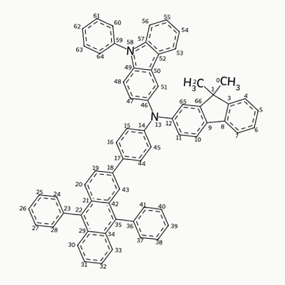 CC1(C)c2ccccc2-c2ccc(N(c3ccc(-c4ccc5c(-c6ccccc6)c6ccccc6c(-c6ccccc6)c5c4)cc3)c3ccc4c(c3)c3ccccc3n4-c3ccccc3)cc21